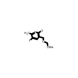 COCOCc1cc(F)c(C)nc1Cl